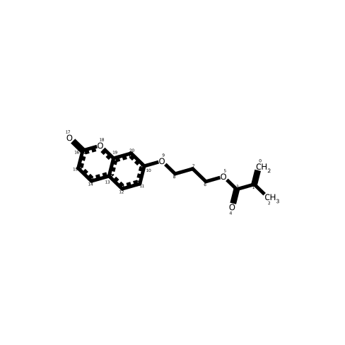 C=C(C)C(=O)OCCCOc1ccc2ccc(=O)oc2c1